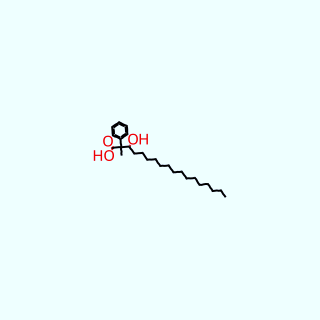 CCCCCCCCCCCCCCCC(O)C(C)(C(=O)O)c1ccccc1